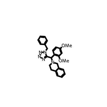 COc1ccc(C(c2nnnn2Cc2ccccc2)N2CCc3ccccc3C2)c(OC)c1